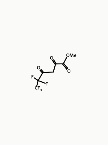 COC(=O)C(=O)CC(=O)C(F)(F)C(F)(F)F